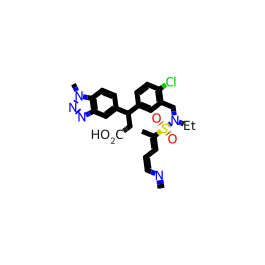 C=N/C=C\C=C(/C)S(=O)(=O)N(CC)Cc1cc(C(CC(=O)O)c2ccc3c(c2)nnn3C)ccc1Cl